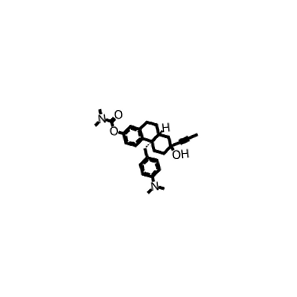 CC#CC1(O)CC[C@@]2(Cc3ccc(N(C)C)cc3)c3ccc(OC(=O)N(C)C)cc3CC[C@@H]2C1